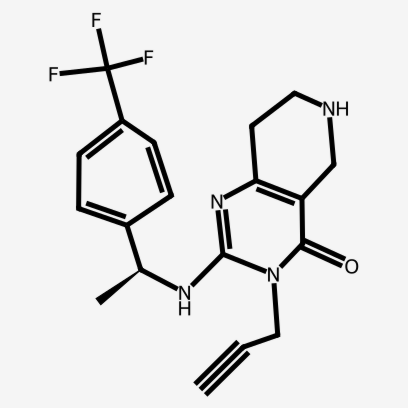 C#CCn1c(N[C@@H](C)c2ccc(C(F)(F)F)cc2)nc2c(c1=O)CNCC2